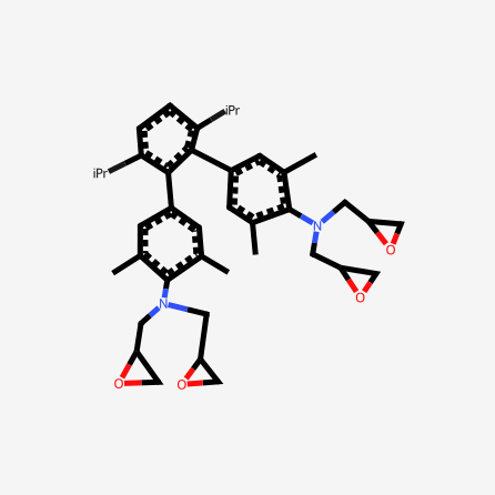 Cc1cc(-c2c(C(C)C)ccc(C(C)C)c2-c2cc(C)c(N(CC3CO3)CC3CO3)c(C)c2)cc(C)c1N(CC1CO1)CC1CO1